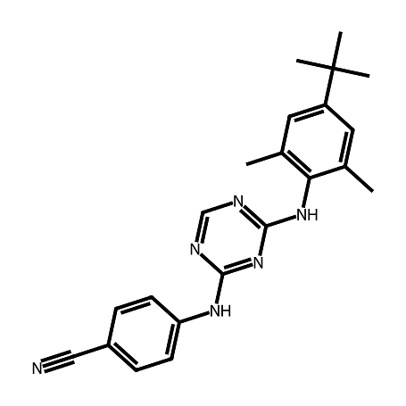 Cc1cc(C(C)(C)C)cc(C)c1Nc1ncnc(Nc2ccc(C#N)cc2)n1